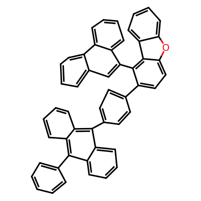 c1ccc(-c2c3ccccc3c(-c3ccc(-c4ccc5oc6ccccc6c5c4-c4cc5ccccc5c5ccccc45)cc3)c3ccccc23)cc1